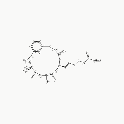 CCCCCCCC(=O)SCC/C=C/[C@@H]1CC(=O)NCc2cccc(n2)C2=N[C@@](C)(CS2)C(=O)NC(C(C)C)C(=O)O1